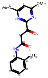 COc1cc(OC)nc(C(=O)CC(=O)Nc2ccccc2C)n1